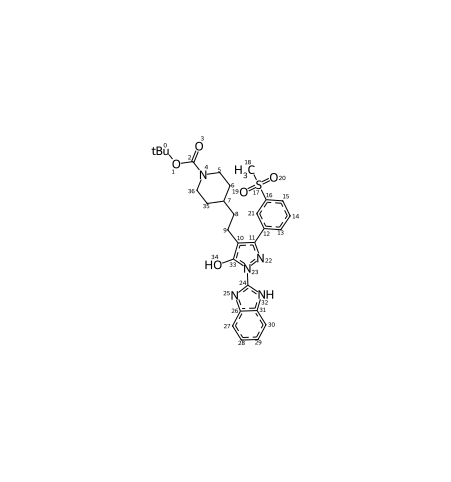 CC(C)(C)OC(=O)N1CCC(CCc2c(-c3cccc(S(C)(=O)=O)c3)nn(-c3nc4ccccc4[nH]3)c2O)CC1